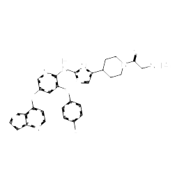 CC(=O)NCC(=O)N1CCC(c2csc(Nc3ncc(Sc4ccnc5ccsc45)cc3Oc3ccc(F)cc3)n2)CC1